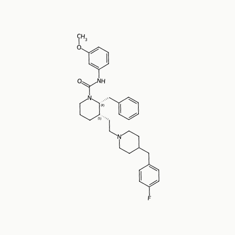 COc1cccc(NC(=O)N2CCC[C@@H](CCN3CCC(Cc4ccc(F)cc4)CC3)[C@H]2Cc2ccccc2)c1